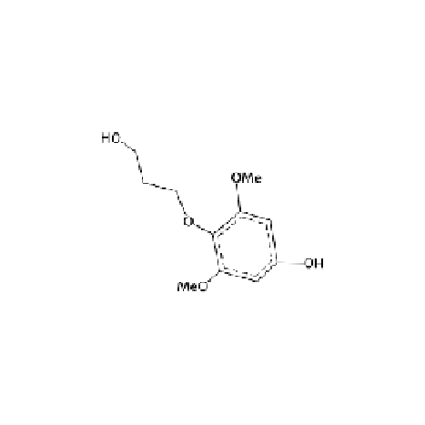 COc1cc(O)cc(OC)c1OCCCO